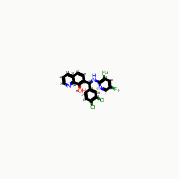 Oc1c(C(Nc2ncc(F)cc2F)c2ccc(Cl)c(Cl)c2)ccc2cccnc12